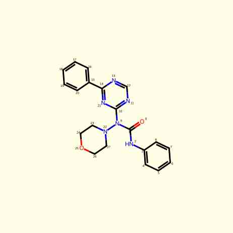 O=C(Nc1ccccc1)N(c1ncnc(-c2ccccc2)n1)N1CCOCC1